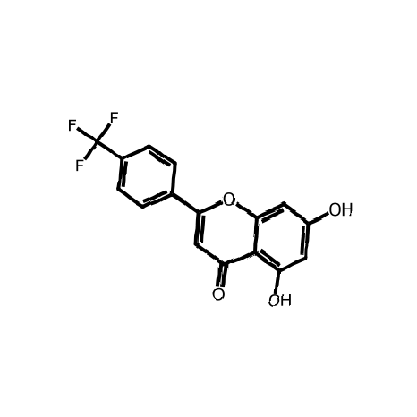 O=c1cc(-c2ccc(C(F)(F)F)cc2)oc2cc(O)cc(O)c12